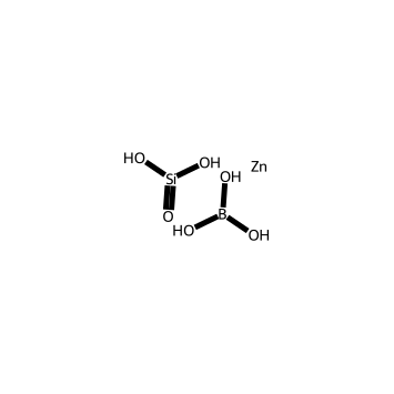 O=[Si](O)O.OB(O)O.[Zn]